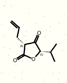 C=CC[C@H]1C(=O)O[C@@H](C(C)C)C1=O